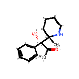 COC(=O)[C@@](O)(c1ccccc1)[C@]1(C)CCCCN1